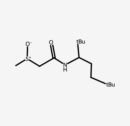 C[S+]([O-])CC(=O)NC(CCC(C)(C)C)C(C)(C)C